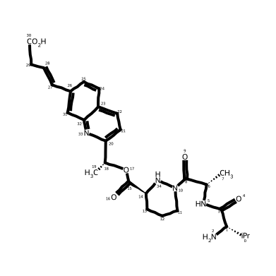 CC(C)[C@H](N)C(=O)N[C@@H](C)C(=O)N1CCC[C@@H](C(=O)O[C@H](C)c2ccc3ccc(/C=C/CC(=O)O)cc3n2)N1